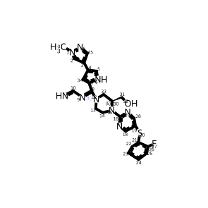 Cn1cc(-c2c[nH]c(/C(=N\C=N)N3CCN(c4ncc(Sc5ccccc5F)cn4)[C@H](CO)C3)c2)cn1